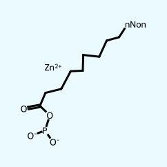 CCCCCCCCCCCCCCCCCC(=O)OP([O-])[O-].[Zn+2]